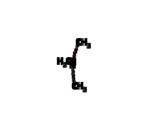 CCCCCCCCCCCCN1C=CN(CCCCCCCCCCCC)C1CC